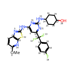 COc1ccc2nc(Nc3cc(C(F)(F)c4ccc(F)cc4)nc(NC4CCC(O)CC4)n3)sc2n1